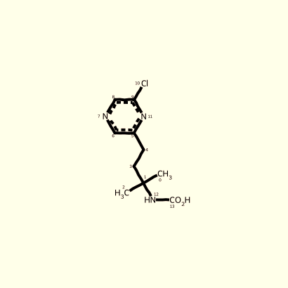 CC(C)(CCc1cncc(Cl)n1)NC(=O)O